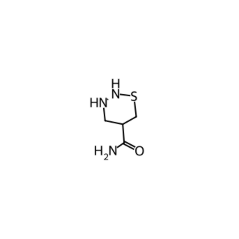 NC(=O)C1CNNSC1